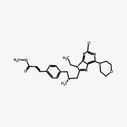 CCn1c(CN(C)Cc2ccc(C=CC(=O)OC)cc2)nc2c(N3CCOCC3)nc(Cl)nc21